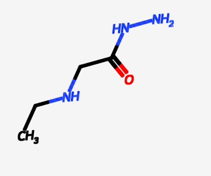 CCNCC(=O)NN